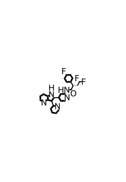 O=C(Nc1cc(-c2[nH]c3cccnc3c2-c2ccccn2)ccn1)[C@@H](CC(F)F)c1ccc(F)cc1